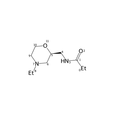 CCC(=O)NC[C@H]1CN(CC)CCO1